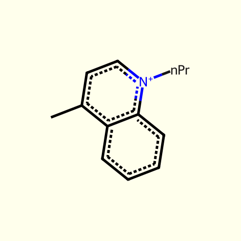 CCC[n+]1ccc(C)c2ccccc21